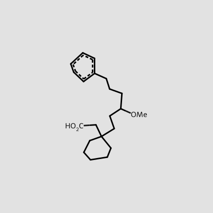 COC(CCCc1ccccc1)CCC1(CC(=O)O)CCCCC1